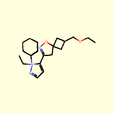 CCOCC1CC2(CC(C3=CC=N[N+]3(CC)C3CCCCC3)=NO2)C1